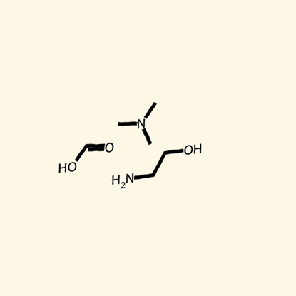 CN(C)C.NCCO.O=CO